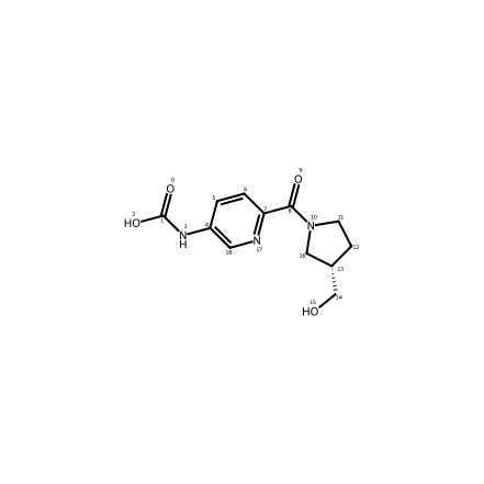 O=C(O)Nc1ccc(C(=O)N2CC[C@H](CO)C2)nc1